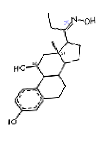 C[C@]12C[C@H](O)C3c4ccc(O)cc4CCC3C1CCC2/C(CI)=N\O